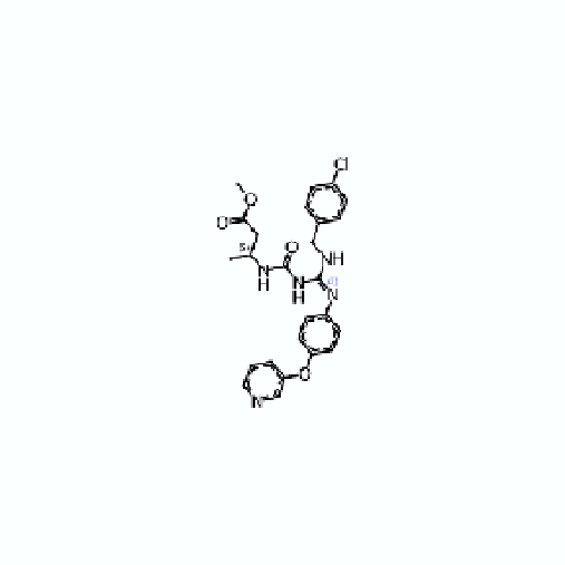 COC(=O)C[C@H](C)NC(=O)N/C(=N\c1ccc(Oc2cccnc2)cc1)NCc1ccc(Cl)cc1